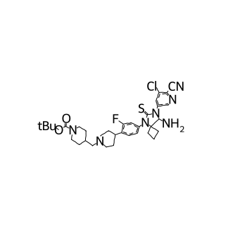 CC(C)(C)OC(=O)N1CCC(CN2CCC(c3ccc(N4C(=S)N(c5cnc(C#N)c(Cl)c5)C(N)C45CCC5)cc3F)CC2)CC1